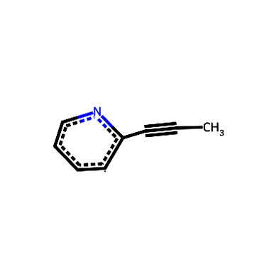 CC#Cc1[c]cccn1